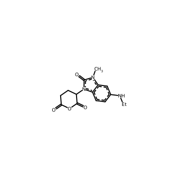 CCNc1ccc2c(c1)n(C)c(=O)n2C1CCC(=O)OC1=O